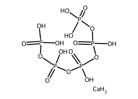 O=P(O)(O)OP(=O)(O)OP(=O)(O)OP(=O)(O)OP(=O)(O)O.[CaH2]